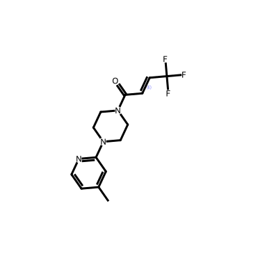 Cc1ccnc(N2CCN(C(=O)/C=C/C(F)(F)F)CC2)c1